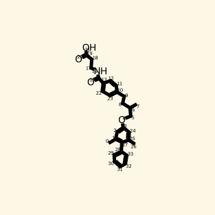 Cc1cc(OCC(C)CCc2ccc(C(=O)NCCC(=O)O)cc2)cc(C)c1-c1ccccc1